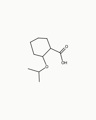 CC(C)OC1CCCCC1C(=O)O